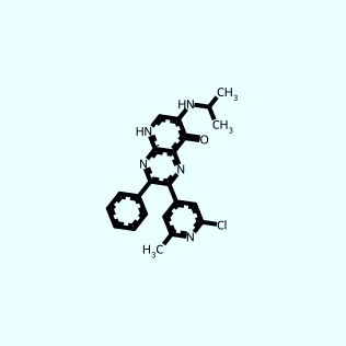 Cc1cc(-c2nc3c(=O)c(NC(C)C)c[nH]c3nc2-c2ccccc2)cc(Cl)n1